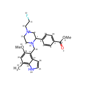 COC(=O)c1ccc(C2CN(CCF)CCN2Cc2c(OC)cc(C)c3[nH]ccc23)cc1